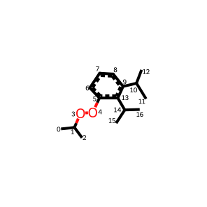 CC(C)OOc1cccc(C(C)C)c1C(C)C